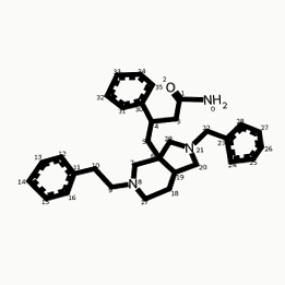 NC(=O)CC(CC12CN(CCc3ccccc3)CCC1CN(Cc1ccccc1)C2)c1ccccc1